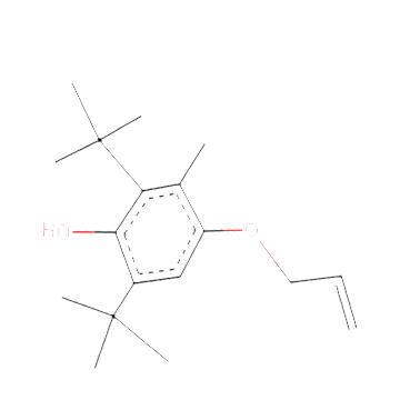 C=CCOc1cc(C(C)(C)C)c(O)c(C(C)(C)C)c1C